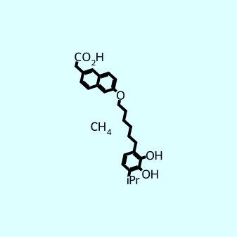 C.CC(C)c1ccc(CCCCCCOc2ccc3cc(CC(=O)O)ccc3c2)c(O)c1O